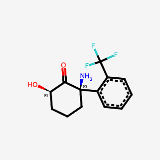 N[C@@]1(c2ccccc2C(F)(F)F)CCC[C@@H](O)C1=O